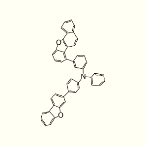 c1ccc(N(c2ccc(-c3ccc4c(c3)oc3ccccc34)cc2)c2cccc(-c3cccc4oc5c6ccccc6ccc5c34)c2)cc1